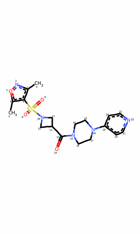 Cc1noc(C)c1S(=O)(=O)N1CC(C(=O)N2CCN(c3ccncc3)CC2)C1